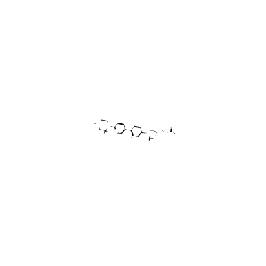 CC(=O)NC[C@H]1CN(c2ccc(-c3ccc(N4CC[S+]([O-])CC4(Cl)Cl)nc3)c(F)c2)C(=O)O1